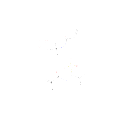 C=C(C)C(=O)NC(C(C)C)S(=O)(=O)O.C=CC(=O)NC(C)(C)CS(=O)(=O)O